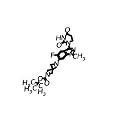 Cn1nc(N2CCC(=O)NC2=O)c2cc(F)c(N3CC4(CN(C(=O)OC(C)(C)C)C4)C3)cc21